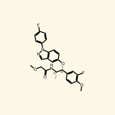 COCC(=O)N[C@@H](C)[C@H](Oc1ccc2c(cnn2-c2ccc(F)cc2)c1)c1ccc(OC)c(F)c1